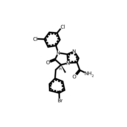 C[C@@]1(Cc2ccc(Br)cc2)C(=O)N(c2cc(Cl)cc(Cl)c2)c2ncc(C(N)=O)n21